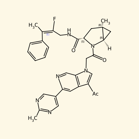 CC(=O)c1cn(CC(=O)N2[C@H](C(=O)NC/C(F)=C(/C)c3ccccc3)C[C@@]3(C)C[C@@H]23)c2cnc(-c3cnc(C)nc3)cc12